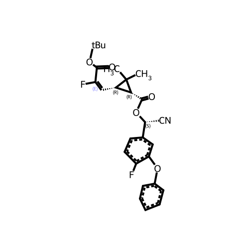 CC(C)(C)OC(=O)/C(F)=C\[C@H]1[C@@H](C(=O)O[C@H](C#N)c2ccc(F)c(Oc3ccccc3)c2)C1(C)C